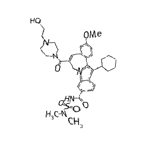 COc1ccc2c(c1)C=C(C(=O)N1CCN(CCO)CC1)Cn1c-2c(C2CCCCC2)c2ccc(C(=O)NS(=O)(=O)N(C)C)cc21